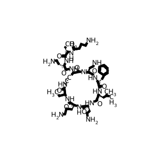 CCC1NC(=O)[C@H](CCCN)NC(=O)[C@H](CCN)NC(=O)[C@H](CC(C)C)NC(=O)[C@@H](Cc2ccccc2)NC(=O)[C@H](CCN)NC(=O)[C@@H](NC(=O)[C@H](CCN)NC(=O)[C@H](CC)NC(=O)CCCN)CCNC1=O